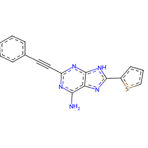 Nc1nc(C#Cc2ccccc2)nc2[nH]c(-c3cccs3)nc12